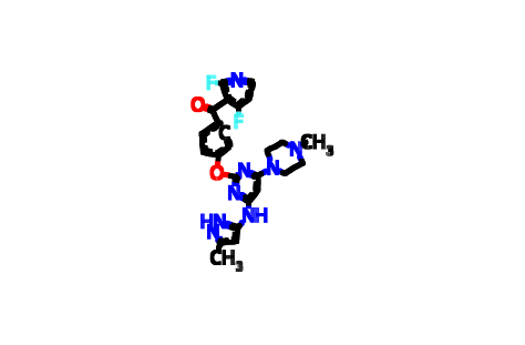 Cc1cc(Nc2cc(N3CCN(C)CC3)nc(Oc3ccc(C(=O)c4c(F)ccnc4F)cc3)n2)[nH]n1